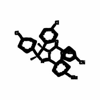 CCOc1cc(C(C)(C)C)ccc1C1=N[C@@](C)(c2ccc(Cl)cc2)[C@@](C)(c2ccc(Cl)cc2)N1C(=O)c1ccc(C#N)cc1